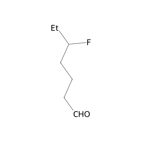 CCC(F)CCCC=O